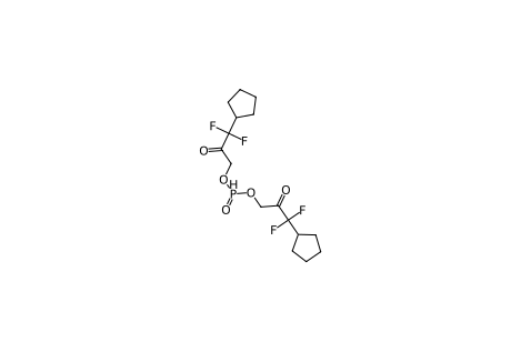 O=C(CO[PH](=O)OCC(=O)C(F)(F)C1CCCC1)C(F)(F)C1CCCC1